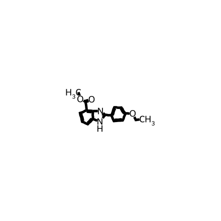 CCOc1ccc(-c2nc3c(C(=O)OC)cccc3[nH]2)cc1